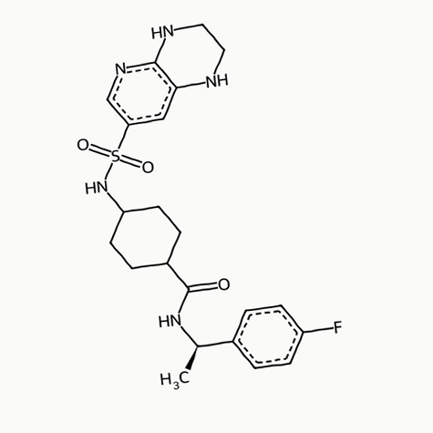 C[C@@H](NC(=O)C1CCC(NS(=O)(=O)c2cnc3c(c2)NCCN3)CC1)c1ccc(F)cc1